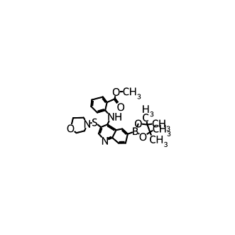 COC(=O)c1ccccc1Nc1c(SN2CCOCC2)cnc2ccc(B3OC(C)(C)C(C)(C)O3)cc12